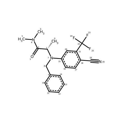 C[C@@H](C(=O)N(C)C)N(Cc1ccccc1)c1ccc(C#N)c(C(F)(F)F)c1